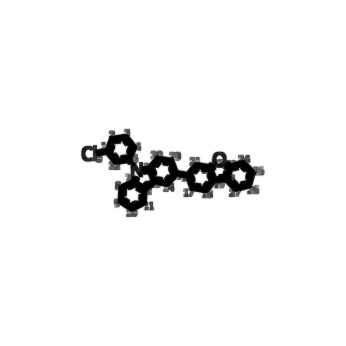 Clc1cccc(-n2c3ccccc3c3cc(-c4ccc5c(c4)oc4ccccc45)ccc32)c1